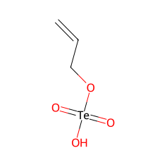 C=CCO[Te](=O)(=O)O